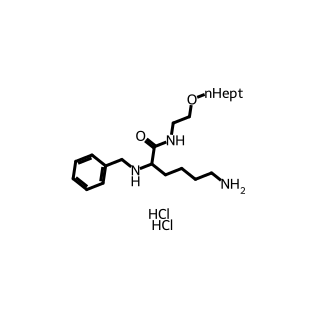 CCCCCCCOCCNC(=O)C(CCCCN)NCc1ccccc1.Cl.Cl